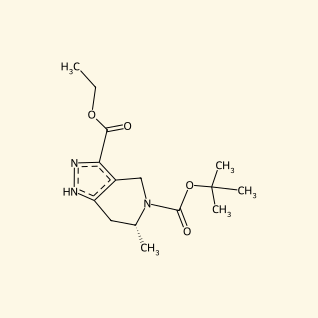 CCOC(=O)c1n[nH]c2c1CN(C(=O)OC(C)(C)C)[C@H](C)C2